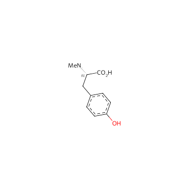 [CH2]N[C@@H](Cc1ccc(O)cc1)C(=O)O